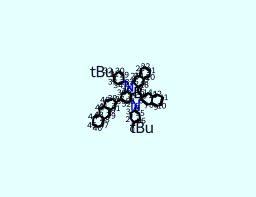 CC(C)(C)c1ccc(N2c3cc4ccccc4cc3B3c4cc5ccccc5cc4N(c4ccc(C(C)(C)C)cc4)c4cc(-c5ccc6cc7ccccc7cc6c5)cc2c43)cc1